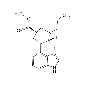 CCCN1C[C@H](C(=O)OC)CC2c3cccc4[nH]cc(c34)C[C@H]21